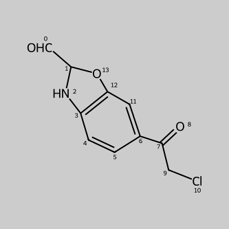 O=CC1Nc2ccc(C(=O)CCl)cc2O1